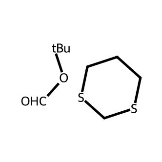 C1CSCSC1.CC(C)(C)OC=O